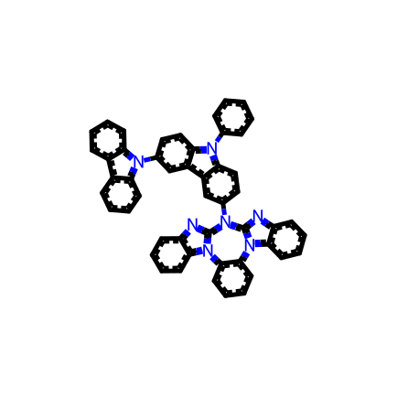 c1ccc(-n2c3ccc(-n4c5ccccc5c5ccccc54)cc3c3cc(-n4c5nc6ccccc6n5c5ccccc5n5c6ccccc6nc45)ccc32)cc1